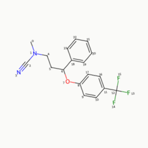 CN(C#N)CCC(Oc1ccc(C(F)(F)F)cc1)c1ccccc1